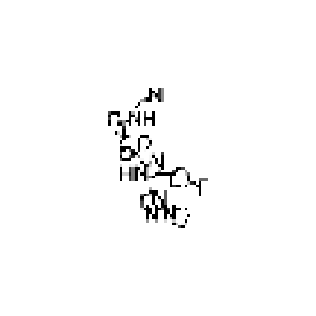 CC1(C(=O)NCC#N)COC(c2nc(-c3ccc(F)cc3)c(-c3ccnc(N4CCCC4)n3)[nH]2)OC1